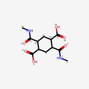 CNC(=O)C1CC(C(=O)O)C(C(=O)NC)CC1C(=O)O